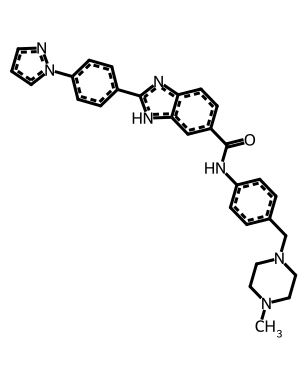 CN1CCN(Cc2ccc(NC(=O)c3ccc4nc(-c5ccc(-n6cccn6)cc5)[nH]c4c3)cc2)CC1